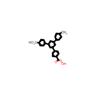 Cc1ccc(-c2cc(-c3ccc(C(=O)O)cc3)cc(-c3ccc(C(=O)OO)cc3)c2)cc1